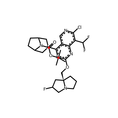 CC(C)(C)OC(=O)N1C2CCC1CN(c1nc(OC[C@@]34CCCN3CC(F)C4)nc3c(C(F)F)c(Cl)ncc13)C2